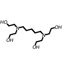 OCCN(CCO)CCCCCN(CCO)CCO